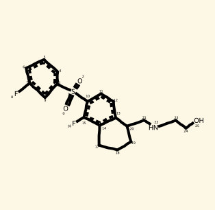 O=S(=O)(c1cccc(F)c1)c1ccc2c(c1F)CCCC2CNCCO